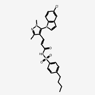 CCCCc1ccc(S(=O)(=O)NC(=O)C=Cc2c(C)nn(C)c2-n2ccc3cc(Cl)ccc32)cc1